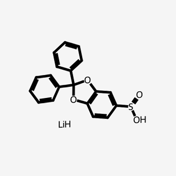 O=S(O)c1ccc2c(c1)OC(c1ccccc1)(c1ccccc1)O2.[LiH]